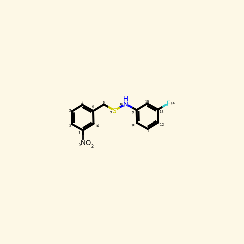 O=[N+]([O-])c1cccc(CSNc2cccc(F)c2)c1